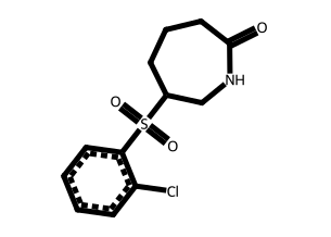 O=C1CCCC(S(=O)(=O)c2ccccc2Cl)CN1